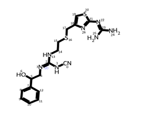 N#CN/C(=N\CC(O)c1ccccc1)NCCSCc1csc(N=C(N)N)n1